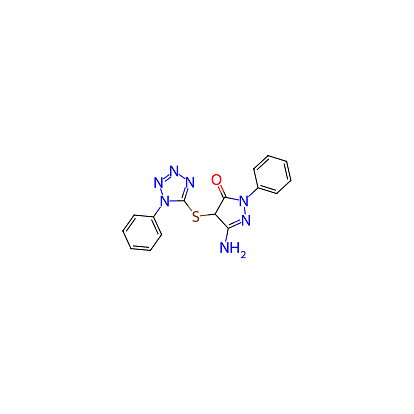 NC1=NN(c2ccccc2)C(=O)C1Sc1nnnn1-c1ccccc1